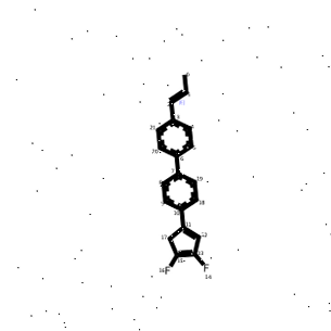 C/C=C/c1ccc(-c2ccc(C3=CC(F)=C(F)C3)cc2)cc1